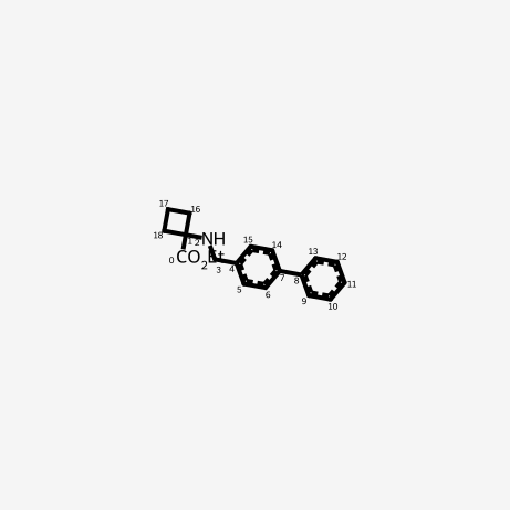 CCOC(=O)C1(NCc2ccc(-c3ccccc3)cc2)CCC1